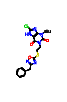 CCCCn1c(=O)n(CCSc2nc(Cc3ccccc3)no2)c(=O)c2[nH]c(Cl)nc21